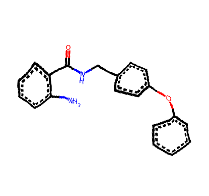 Nc1ccccc1C(=O)NCc1ccc(Oc2ccccc2)cc1